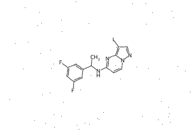 CC(Nc1ccn2ncc(I)c2n1)c1cc(F)cc(F)c1